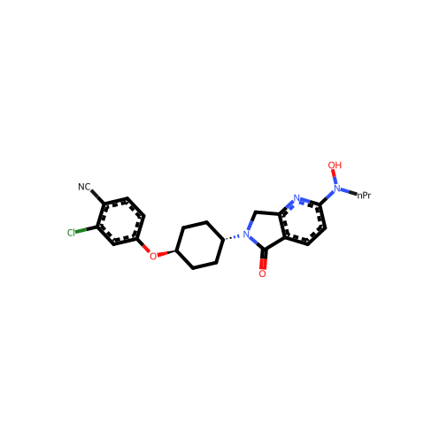 CCCN(O)c1ccc2c(n1)CN([C@H]1CC[C@H](Oc3ccc(C#N)c(Cl)c3)CC1)C2=O